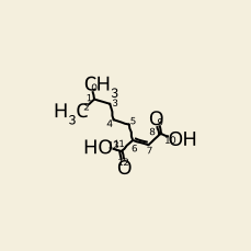 CC(C)CCC/C(=C\C(=O)O)C(=O)O